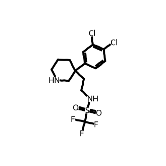 O=S(=O)(NCCC1(c2ccc(Cl)c(Cl)c2)CCCNC1)C(F)(F)F